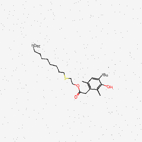 CCCCCCCCCCCCCCCCCCSCCOC(=O)Cc1c(C)cc(C(C)(C)C)c(O)c1C